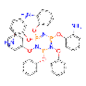 Nc1ccccc1OP1N=P(Oc2ccccc2N)(Oc2ccccc2N)N(Oc2ccccc2)P(Oc2ccccc2)N1Oc1ccccc1